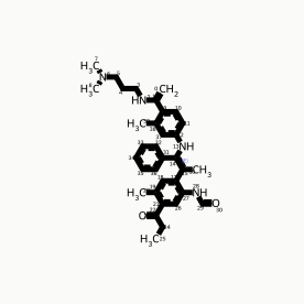 C=C(NCCCN(C)C)c1ccc(N/C(=C(\C)c2cc(C)c(C(=O)CC)cc2NC=O)c2ccccc2)cc1C